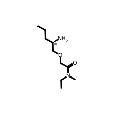 CCC[C@@H](N)COCC(=O)N(C)CC